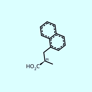 C[C@H](Cc1cccc2ccccc12)C(=O)O